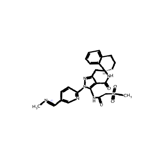 C/N=C/c1ccc(-n2nc3c(c2NC(=O)CS(C)(=O)=O)C(=O)N[C@@]2(CCCc4ccccc42)C3)nc1